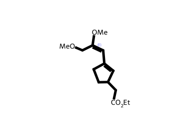 CCOC(=O)CC1C=C(/C=C(\COC)OC)CC1